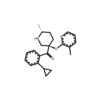 Cc1cccnc1O[C@]1(C(=O)c2ccccc2C2CC2)CC[C@@H](C)NC1